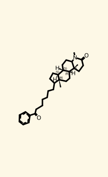 CN1C(=O)CC[C@@]2(C)C1CC[C@@H]1[C@H]2CC[C@]2(C)C(CCCCCCC(=O)c3ccccc3)CC[C@@H]12